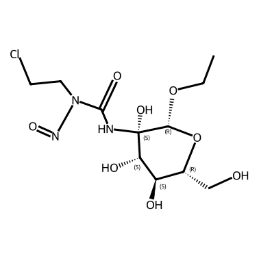 CCO[C@@H]1O[C@H](CO)[C@@H](O)[C@H](O)[C@@]1(O)NC(=O)N(CCCl)N=O